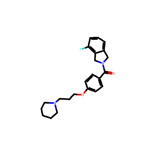 O=C(c1ccc(OCCCN2CCCCC2)cc1)N1Cc2cccc(F)c2C1